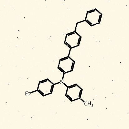 CCc1ccc(N(c2ccc(C)cc2)c2ccc(-c3ccc(Cc4ccccc4)cc3)cc2)cc1